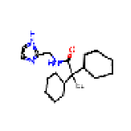 CCC(C(=O)NCc1ncc[nH]1)(C1CCCCC1)C1CCCCC1